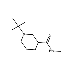 CNC(=O)C1CCCN(C(C)(C)C)C1